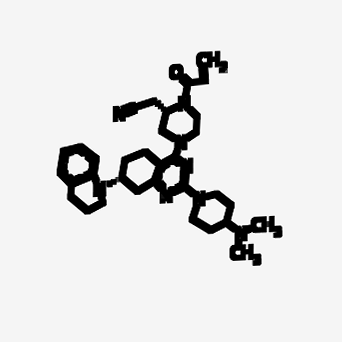 C=CC(=O)N1CCN(c2nc(N3CCC(N(C)C)CC3)nc3c2CC[C@@H](N2CCCc4ccccc42)C3)C[C@@H]1CC#N